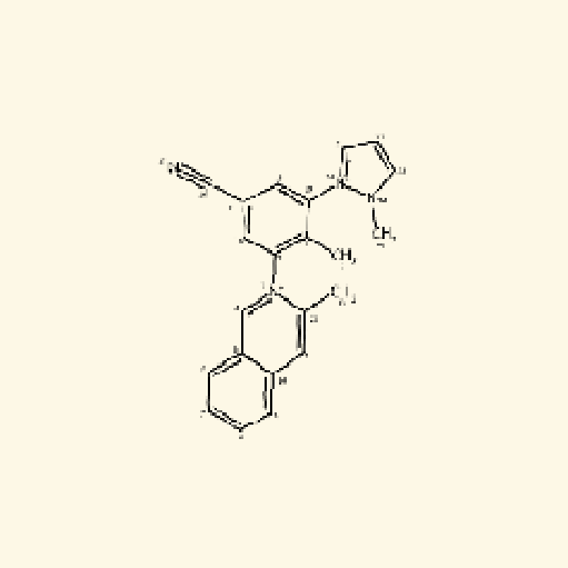 Cc1c(-[n+]2cc3ccccc3cc2C)cc(C#N)cc1-[n+]1cccn1C